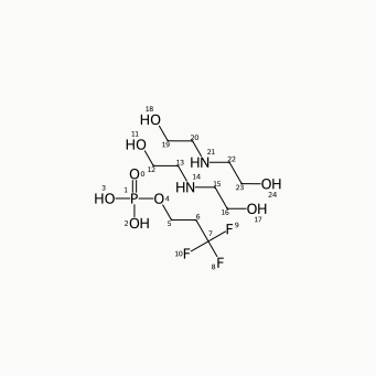 O=P(O)(O)OCCC(F)(F)F.OCCNCCO.OCCNCCO